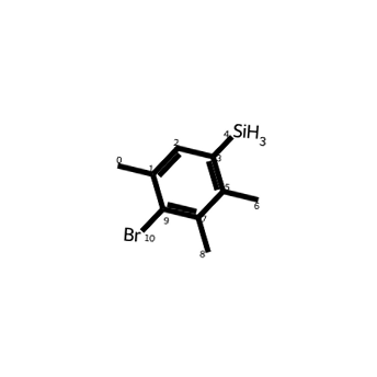 Cc1cc([SiH3])c(C)c(C)c1Br